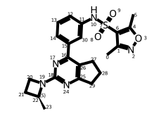 Cc1noc(C)c1S(=O)(=O)Nc1cccc(-c2nc(N3CC[C@@H]3C)nc3c2CCC3)c1